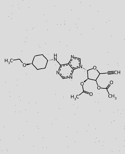 C#CC1O[C@@H](n2cnc3c(N[C@H]4CC[C@H](OCC)CC4)ncnc32)[C@H](OC(C)=O)C1OC(C)=O